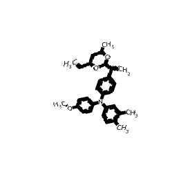 C=C(c1ccc(N(c2ccc(OC)cc2)c2ccc(C)c(C)c2)cc1)C1OC(C)CC(CC)O1